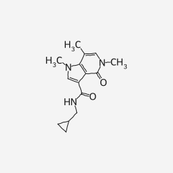 Cc1cn(C)c(=O)c2c(C(=O)NCC3CC3)cn(C)c12